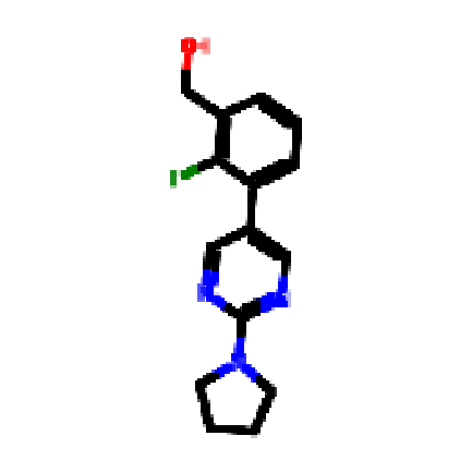 OCc1cccc(-c2cnc(N3CCCC3)nc2)c1F